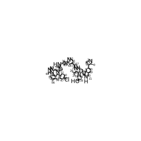 Cc1ncsc1-c1ccc([C@H](C)NC(=O)[C@@H]2C[C@@H](O)CN2C(=O)C(C(C)C)n2cc(-c3ccnc(N4CC(NC(=O)C[C@@H]5N=C(c6ccc(Cl)cc6)c6c(sc(C)c6C)-n6c(C)nnc65)C4)c3)cn2)cc1